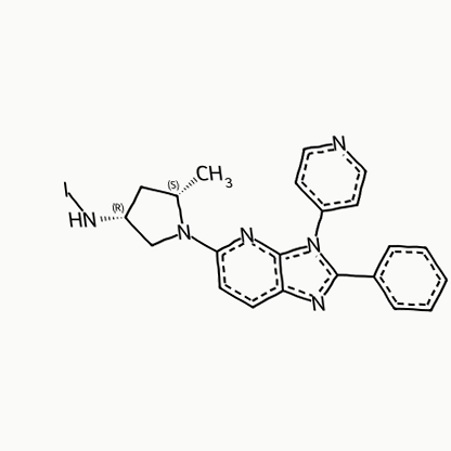 C[C@H]1C[C@@H](NI)CN1c1ccc2nc(-c3ccccc3)n(-c3ccncc3)c2n1